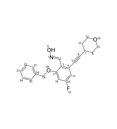 O/N=C/c1c(C#CC2CCOCC2)cc(F)cc1OCc1ccccc1